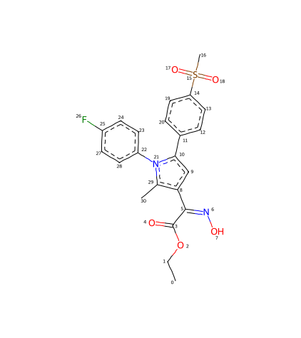 CCOC(=O)C(=NO)c1cc(-c2ccc(S(C)(=O)=O)cc2)n(-c2ccc(F)cc2)c1C